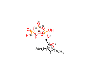 CO[C@@H]1C[C@H](C)O[C@@H]1COP(=O)(O)OP(=O)(O)OP(=O)(O)O